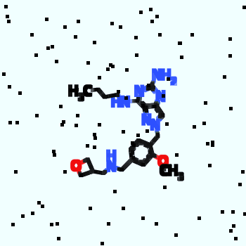 CCCCNc1nc(N)nc2cn(Cc3ccc(CNCC4COC4)cc3OC)nc12